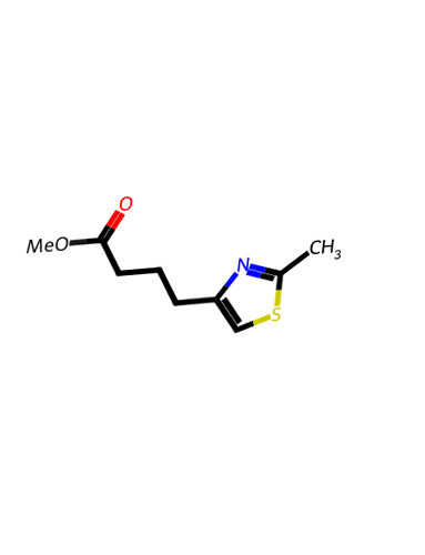 COC(=O)CCCc1csc(C)n1